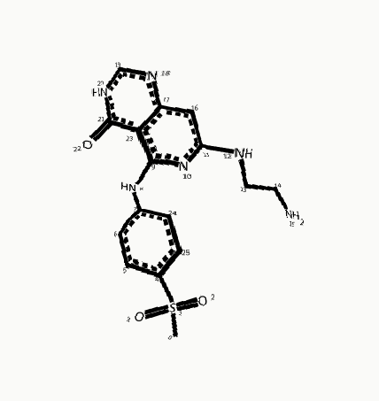 CS(=O)(=O)c1ccc(Nc2nc(NCCN)cc3nc[nH]c(=O)c23)cc1